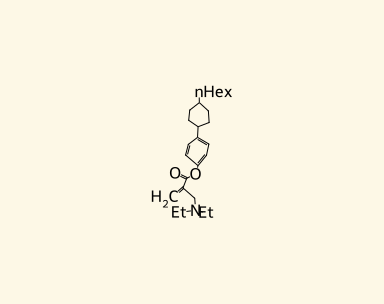 C=C(CN(CC)CC)C(=O)Oc1ccc(C2CCC(CCCCCC)CC2)cc1